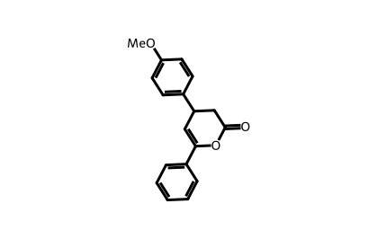 COc1ccc(C2C=C(c3ccccc3)OC(=O)C2)cc1